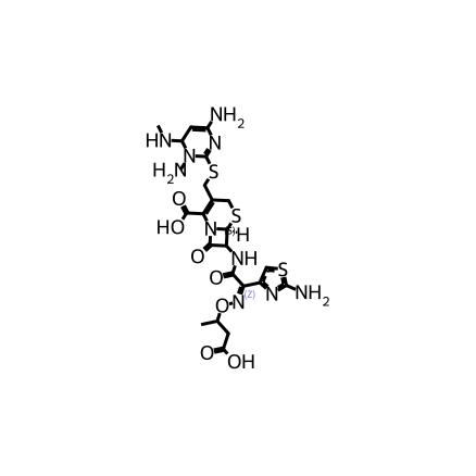 CNC1C=C(N)N=C(SCC2=C(C(=O)O)N3C(=O)C(NC(=O)/C(=N\OC(C)CC(=O)O)c4csc(N)n4)[C@@H]3SC2)N1N